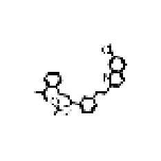 C=C(C)c1ccccc1CCC(OC(C)=O)c1cccc(C=Cc2ccc3ccc(Cl)cc3n2)c1